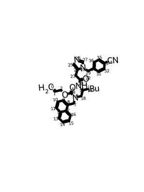 C=CCOC(=O)N(Cc1cccc2ccccc12)CC(NC(=O)Cc1cncn1Cc1ccc(C#N)cc1)C(C)CC